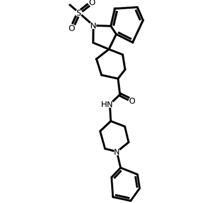 CS(=O)(=O)N1CC2(CCC(C(=O)NC3CCN(c4ccccc4)CC3)CC2)c2ccccc21